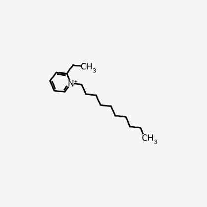 CCCCCCCCCC[n+]1ccccc1CC